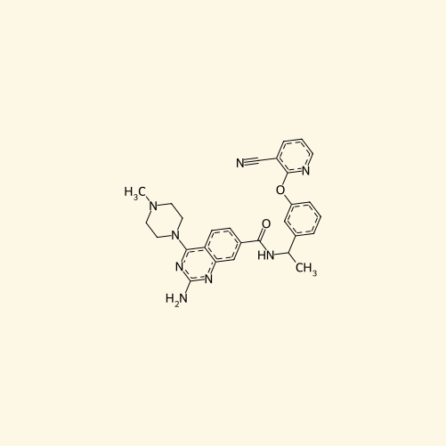 CC(NC(=O)c1ccc2c(N3CCN(C)CC3)nc(N)nc2c1)c1cccc(Oc2ncccc2C#N)c1